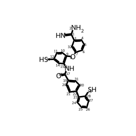 N=C(N)c1cccc(Oc2ccc(S)cc2NC(=O)c2ccc(-c3ccccc3S)cc2)c1